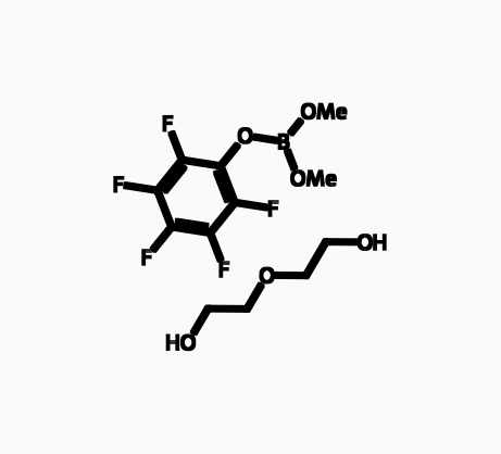 COB(OC)Oc1c(F)c(F)c(F)c(F)c1F.OCCOCCO